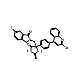 C=C1NC(=O)[C@](CN2Cc3ccc(F)cc3C2=O)(c2ccc(-c3cc(O)nc4ccccc34)cc2)N1